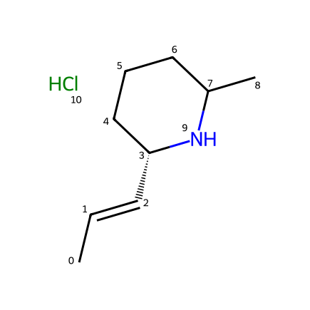 CC=C[C@@H]1CCCC(C)N1.Cl